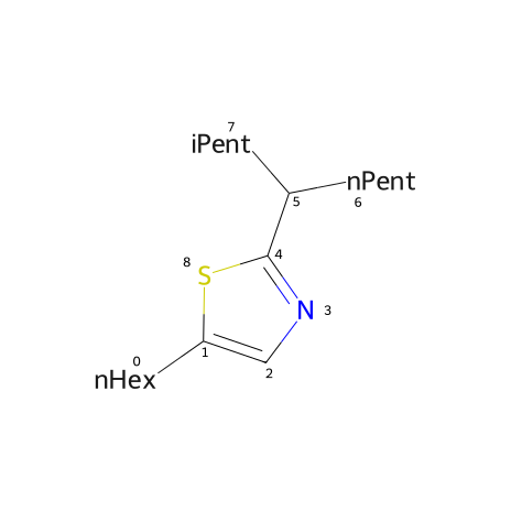 CCCCCCc1cnc(C(CCCCC)C(C)CCC)s1